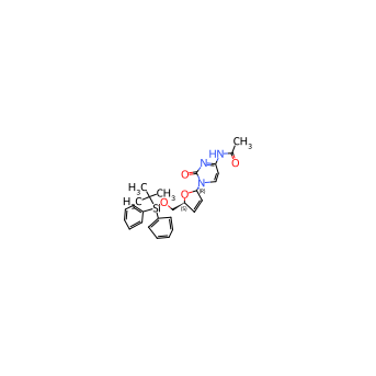 CC(=O)Nc1ccn([C@H]2C=C[C@@H](CO[Si](c3ccccc3)(c3ccccc3)C(C)(C)C)O2)c(=O)n1